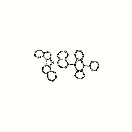 c1ccc(-c2c3ccccc3c(-c3ccc(-n4c5ccc6ccccc6c5c5ccc6ccccc6c54)c4ccccc34)c3ccccc23)cc1